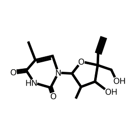 C#CC1(CO)OC(n2cc(C)c(=O)[nH]c2=O)C(C)C1O